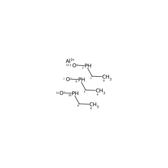 CCP[O-].CCP[O-].CCP[O-].[Al+3]